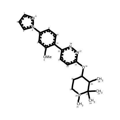 COc1cc(-n2cccn2)ccc1-c1ccc(OC2CCN(C)C(C)(C)C2C)nn1